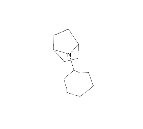 [CH]1CCC(N2C3CCC2CC3)CC1